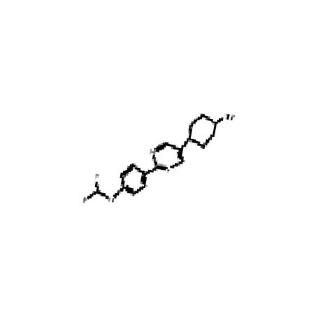 CCCC1CCC(c2cnc(-c3ccc(OC(F)F)cc3)nc2)CC1